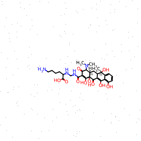 CN(C)C1C(=O)C(C(=O)NCNC(CCCCN)C(=O)O)=C(O)[C@@]2(O)C(=O)C3=C(O)c4c(O)cccc4[C@@](C)(O)C3C[C@@H]12